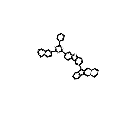 C1=CC2C=c3c(n(-c4ccc5oc6cc(-c7nc(-c8ccccc8)nc(-c8ccc9ccccc9c8)n7)ccc6c5c4)c4ccccc34)=CC2C=C1